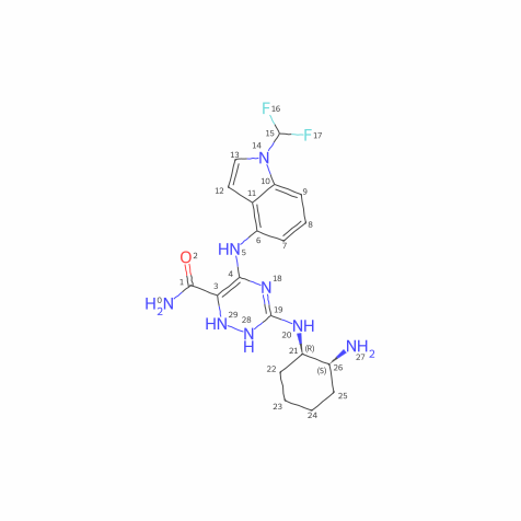 NC(=O)C1=C(Nc2cccc3c2ccn3C(F)F)N=C(N[C@@H]2CCCC[C@@H]2N)NN1